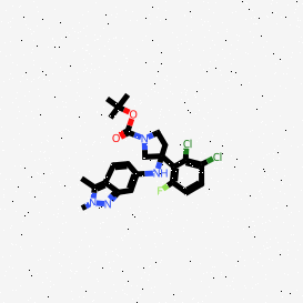 Cc1c2ccc(NC3(c4c(F)ccc(Cl)c4Cl)CCN(C(=O)OC(C)(C)C)C3)cc2nn1C